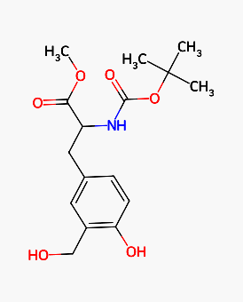 COC(=O)C(Cc1ccc(O)c(CO)c1)NC(=O)OC(C)(C)C